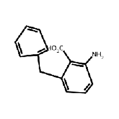 Nc1cccc(Cc2ccccc2)c1C(=O)O